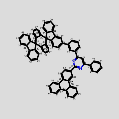 c1ccc(-c2cc(-c3cccc(-c4ccc5c(c4)-c4ccccc4C54c5ccccc5C5(c6ccccc6-c6ccccc65)c5ccccc54)c3)nc(-c3ccc4c5ccccc5c5ccccc5c4c3)n2)cc1